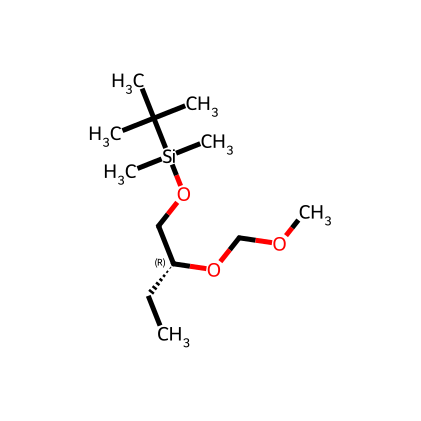 CC[C@H](CO[Si](C)(C)C(C)(C)C)OCOC